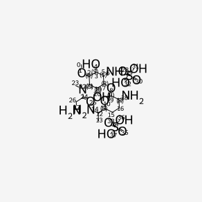 CO[C@H]1[C@@H](O)[C@H](N)[C@@H](O[C@H]2O[C@H](C(C)N)CC[C@H]2N)[C@H](O)[C@@H]1N(C)C(=O)CN.O=S(=O)(O)O.O=S(=O)(O)O